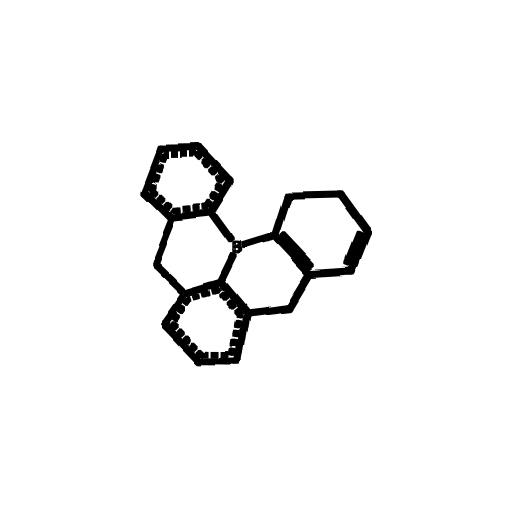 C1=CC2=C(CC1)B1c3ccccc3Cc3cccc(c31)C2